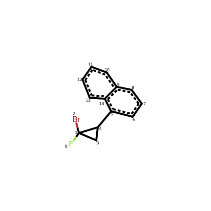 FC1(Br)CC1c1cccc2ccccc12